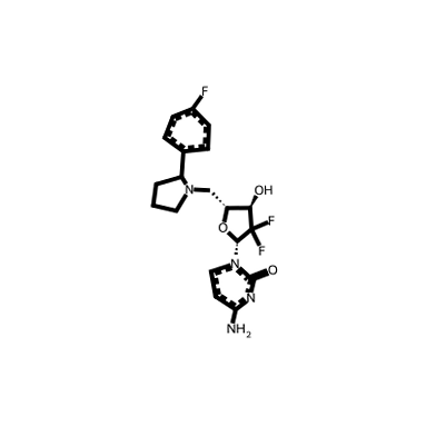 Nc1ccn([C@@H]2O[C@H](CN3CCCC3c3ccc(F)cc3)[C@@H](O)C2(F)F)c(=O)n1